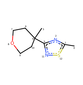 Cc1nc(C2(C)CCOCC2)ns1